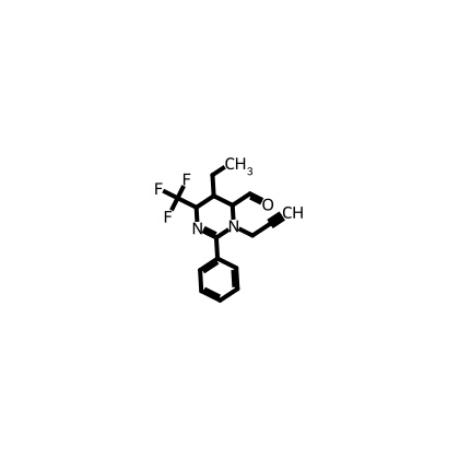 C#CCN1C(c2ccccc2)=NC(C(F)(F)F)C(CC)C1C=O